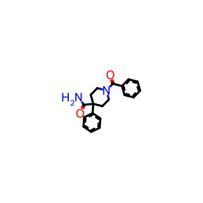 NC(=O)C1(c2ccccc2)CCN(C(=O)c2ccccc2)CC1